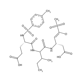 CCC(C)C(NC(=O)[C@H](CCC(=O)O)NS(=O)(=O)c1ccc(C)cc1)C(=O)N[C@H](/C=C(\Cl)S(C)(=O)=O)CC(=O)O